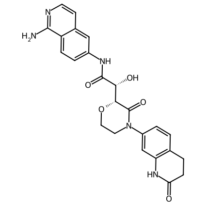 Nc1nccc2cc(NC(=O)[C@H](O)[C@H]3OCCN(c4ccc5c(c4)NC(=O)CC5)C3=O)ccc12